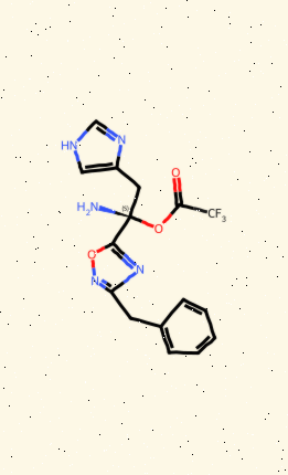 N[C@@](Cc1c[nH]cn1)(OC(=O)C(F)(F)F)c1nc(Cc2ccccc2)no1